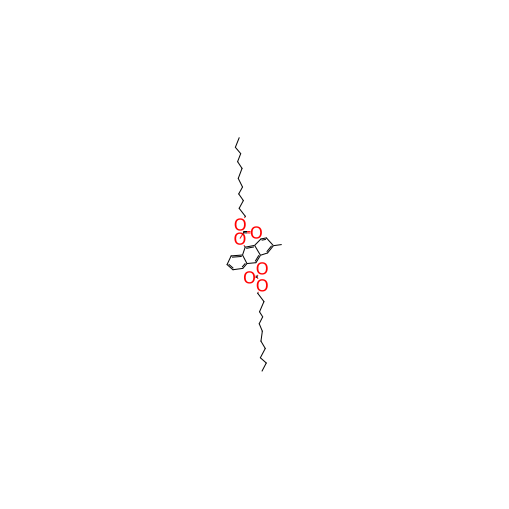 CCCCCCCCCCCOC(=O)Oc1c2ccccc2c(OC(=O)OCCCCCCCCCCC)c2cc(C)ccc12